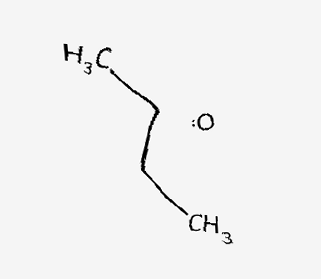 CCCC.[O]